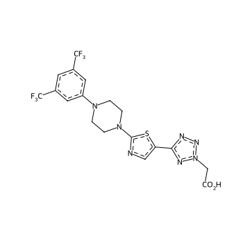 O=C(O)Cn1nnc(-c2cnc(N3CCN(c4cc(C(F)(F)F)cc(C(F)(F)F)c4)CC3)s2)n1